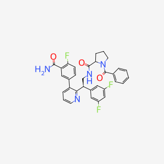 NC(=O)c1cc(-c2cccnc2[C@@H](CNC(=O)C2CCCN2C(=O)c2ccccc2)c2cc(F)cc(F)c2)ccc1F